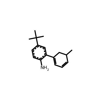 CC1C=CC=C(c2cc(C(C)(C)C)ccc2N)C1